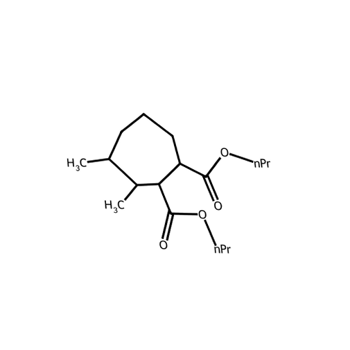 CCCOC(=O)C1CCCC(C)C(C)C1C(=O)OCCC